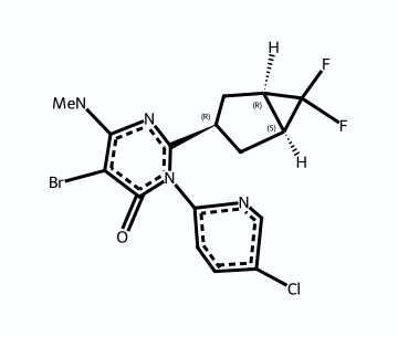 CNc1nc([C@H]2C[C@@H]3[C@H](C2)C3(F)F)n(-c2ccc(Cl)cn2)c(=O)c1Br